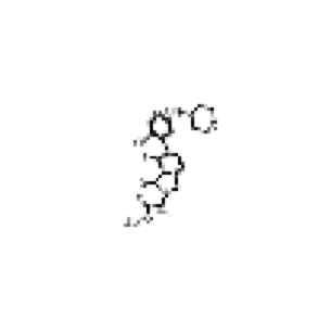 C[C@H](C(=O)OC(C)(C)C)N1Cc2ccc(-c3nc(NC4CCOCC4)ncc3Cl)c(F)c2C1=O